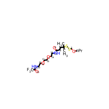 CCCOCSSC(C)(C)CCC(=O)NCCOCCOCCNC(=O)C(F)(F)F